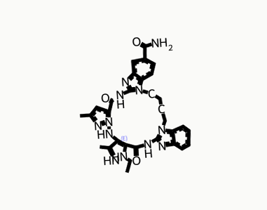 CCN/C1=C(\C(C)=N)Nn2nc(C)cc2C(=O)Nc2nc3cc(C(N)=O)ccc3n2CCCCn2c(nc3ccccc32)NC1=O